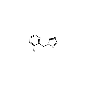 Clc1cccnc1Cn1cncn1